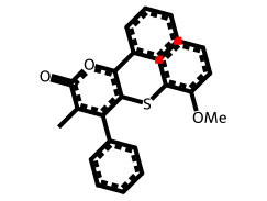 COc1ccccc1Sc1c(-c2ccccc2)oc(=O)c(C)c1-c1ccccc1